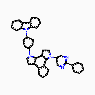 c1ccc(-c2ncc(-n3ccc4c5c(ccn5-c5ccc(-n6c7ccccc7c7ccccc76)cc5)c5ccccc5c43)cn2)cc1